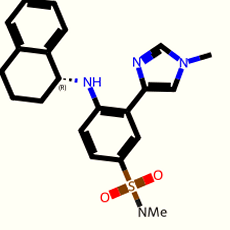 CNS(=O)(=O)c1ccc(N[C@@H]2CCCc3ccccc32)c(-c2cn(C)cn2)c1